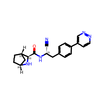 N#C[C@H](Cc1ccc(-c2ccnnc2)cc1)NC(=O)[C@H]1N[C@@H]2CC[C@H]1C2